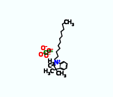 CCCCCCCCCCCC[N+]1=C(C)C(C)(C)c2ccccc21.[O-][Cl+3]([O-])([O-])[O-]